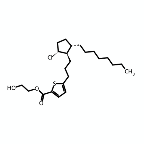 CCCCCCCC[C@H]1CC[C@@H](Cl)[C@@H]1CCCc1ccc(C(=O)OCCO)s1